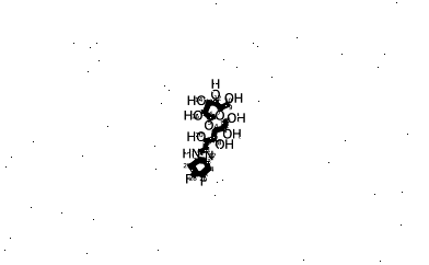 OCC(O)C(OC1OC(CO)C(O)C(O)C1O)C(O)[C@H](O)c1nc2cc(F)c(F)cc2[nH]1